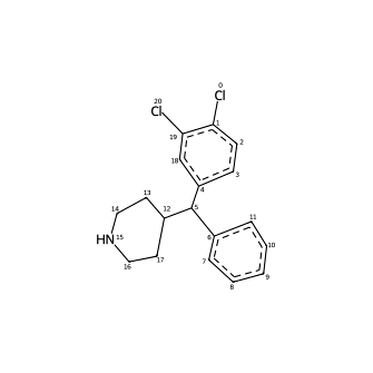 Clc1ccc(C(c2ccccc2)C2CCNCC2)cc1Cl